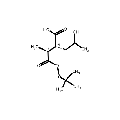 CC(C)C[C@@H](C(=O)O)[C@H](C)C(=O)OOC(C)(C)C